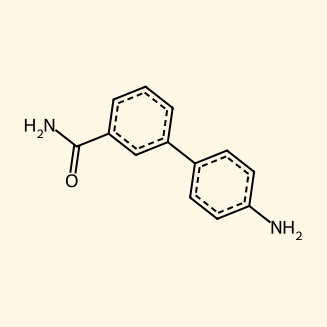 NC(=O)c1cccc(-c2ccc(N)cc2)c1